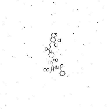 O=C(O)C[C@H](CNC(=O)c1ccccc1)NC(=O)C1CCN(C(=O)/C=C/c2cc3ccsc3c(Cl)c2Cl)CC1